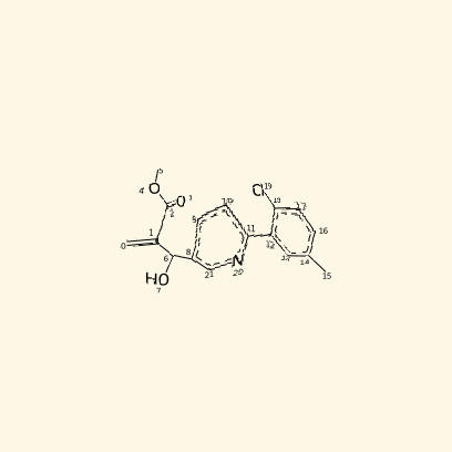 C=C(C(=O)OC)C(O)c1ccc(-c2cc(C)ccc2Cl)nc1